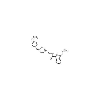 CCCn1nc(C(=O)NCCN2CCN(Cc3ccc(OC)cc3)CC2)c2ccccc21